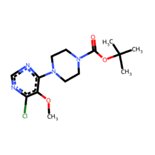 COc1c(Cl)ncnc1N1CCN(C(=O)OC(C)(C)C)CC1